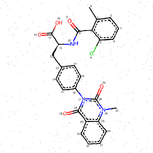 Cc1cccc(Cl)c1C(=O)N[C@@H](Cc1ccc(-n2c(=O)c3ccccc3n(C)c2=O)cc1)C(=O)O